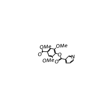 COC(=O)c1cc(OC)c(OC(=O)c2cccnc2)c(OC)c1